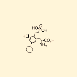 Cl.N[C@@H](Cc1cc(C2CCCCC2)ccc1CCP(=O)(O)O)C(=O)O